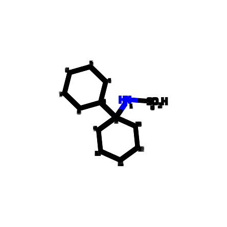 O=S(=O)(O)NC1(C2CCCCC2)CCCCC1